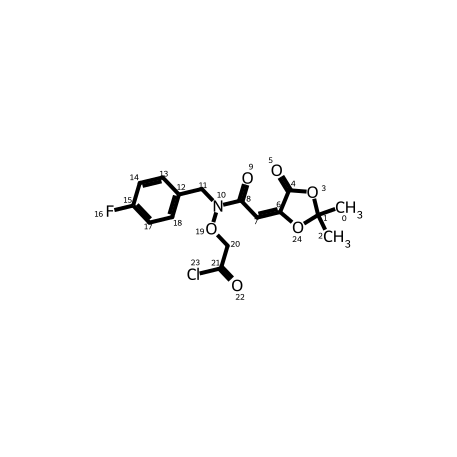 CC1(C)OC(=O)C(=CC(=O)N(Cc2ccc(F)cc2)OCC(=O)Cl)O1